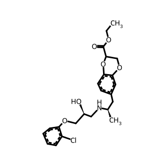 CCOC(=O)C1COc2cc(C[C@@H](C)NC[C@H](O)COc3ccccc3Cl)ccc2O1